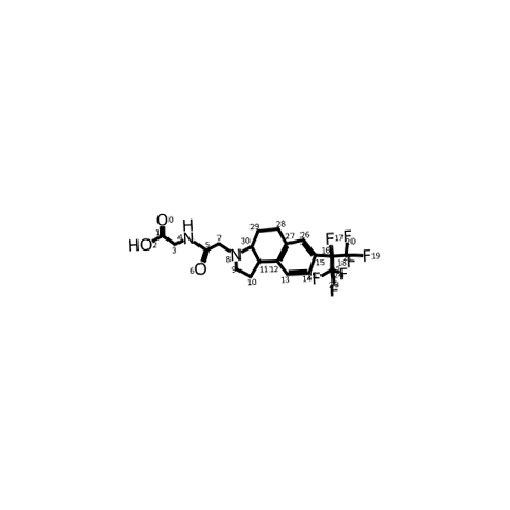 O=C(O)CNC(=O)CN1CCC2c3ccc(C(F)(C(F)(F)F)C(F)(F)F)cc3CCC21